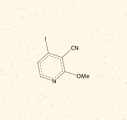 COc1nccc(I)c1C#N